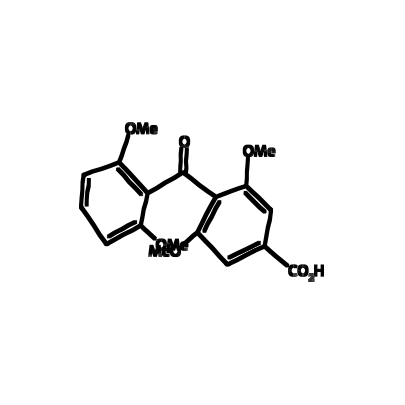 COc1cccc(OC)c1C(=O)c1c(OC)cc(C(=O)O)cc1OC